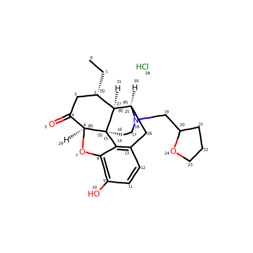 CC[C@H]1CC(=O)[C@@H]2Oc3c(O)ccc4c3[C@@]23CCN(CC2CCCO2)[C@H](C4)[C@H]13.Cl